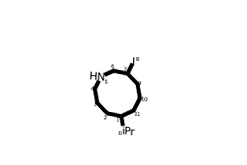 CC(C)C1CCCNCC(I)CCC1